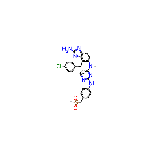 CN(c1ccnc(Nc2ccc(CS(C)(=O)=O)cc2)n1)c1ccc2c(nc(N)n2C)c1Cc1ccc(Cl)cc1